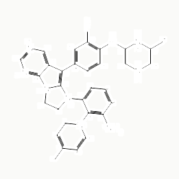 CC1=CCN(c2c(N)cccc2N2CCn3c2c(-c2ccc(OC4CNCC(C)N4)c(F)c2)c2cncnc23)C=C1